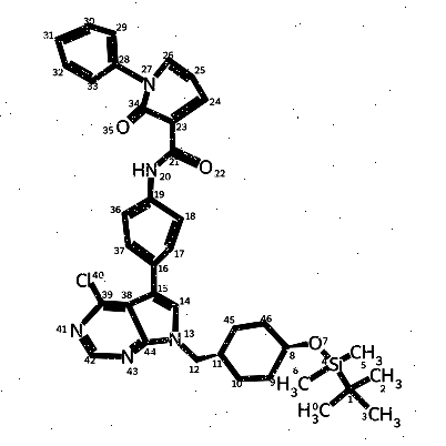 CC(C)(C)[Si](C)(C)O[C@H]1CC[C@@H](Cn2cc(-c3ccc(NC(=O)c4cccn(-c5ccccc5)c4=O)cc3)c3c(Cl)ncnc32)CC1